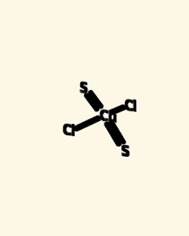 [S]=[Cu](=[S])([Cl])[Cl]